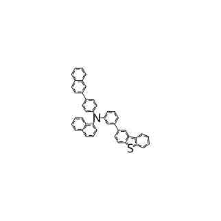 c1cc(-c2ccc3sc4ccccc4c3c2)cc(N(c2ccc(-c3ccc4ccccc4c3)cc2)c2cccc3ccccc23)c1